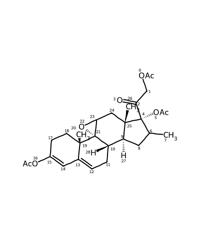 CC(=O)OCC(=O)[C@@]1(OC(C)=O)C(C)C[C@H]2[C@@H]3CC=C4C=C(OC(C)=O)CC[C@]4(C)[C@]34OC4C[C@@]21C